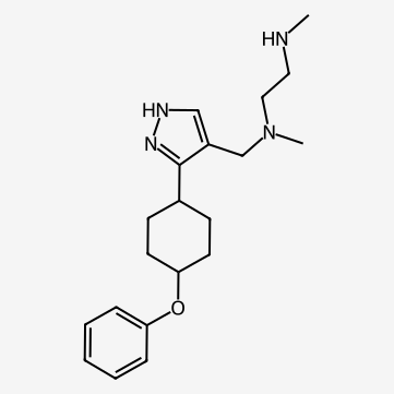 CNCCN(C)Cc1c[nH]nc1C1CCC(Oc2ccccc2)CC1